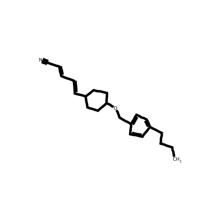 CCCCc1ccc(COC2CCC(C=CC=CC#N)CC2)cc1